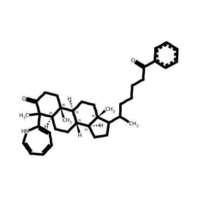 CC(CCCCC(=O)c1ccccc1)C1CC[C@H]2[C@@H]3CC[C@H]4C(C)(C5=CC=CC=CN5)C(=O)CC[C@]4(C)[C@H]3CC[C@]12C